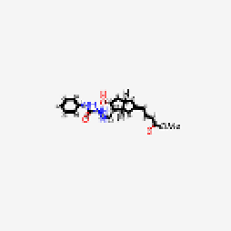 COC(=O)CCC=C1C[C@H]2C[C@@H](O)[C@H](/C=N\NC(=O)Nc3ccccc3)[C@H]2C1